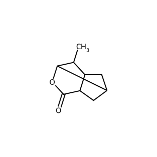 CC1C2CC3CC2C(=O)OC31